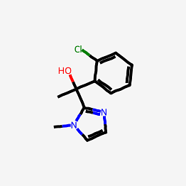 Cn1ccnc1C(C)(O)c1ccccc1Cl